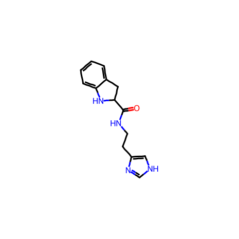 O=C(NCCc1c[nH]cn1)C1Cc2ccccc2N1